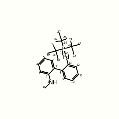 CNc1ccccc1-c1cccc[c]1[Pd][PH](C(C)(C)C)(C(C)(C)C)C(C)(C)C